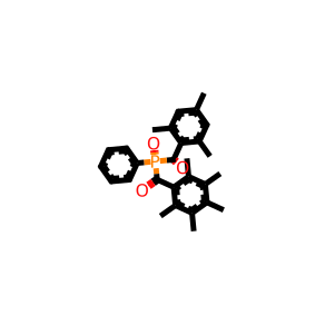 Cc1cc(C)c(C(=O)P(=O)(C(=O)c2c(C)c(C)c(C)c(C)c2C)c2ccccc2)c(C)c1